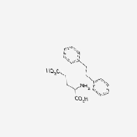 NC(CCC(=O)O)C(=O)O.c1ccc(CCc2ccccc2)cc1